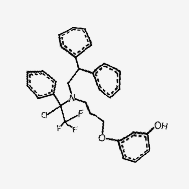 Oc1cccc(OCCCN(CC(c2ccccc2)c2ccccc2)C(Cl)(c2ccccc2)C(F)(F)F)c1